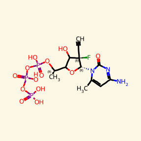 C#C[C@@]1(F)C(O)C([C@@H](C)OP(=O)(O)OP(=O)(O)OP(=O)(O)O)O[C@H]1n1c(C)cc(N)nc1=O